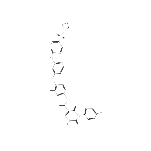 CC(C)n1cc(C(=O)Nc2ccc(Oc3ccnc(Nc4ccc(S(=O)(=O)N5CCC5)cn4)c3)c(F)c2)c(=O)n(-c2ccc(F)cc2)c1=O